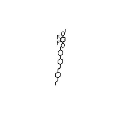 CCCC1CCC(/C=C/C2CCC(C3CCC(COc4ccc(OCC)c(F)c4F)CC3)CC2)CC1